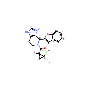 CC1(C(=O)N2CCc3[nH]cnc3[C@H]2c2cc3ccccc3o2)CC1(F)F